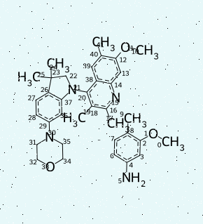 COc1cc(N)ccc1C.COc1cc2nc(C)c(C)c(N3CC(C)(C)c4ccc(N5CCOCC5)cc43)c2cc1C